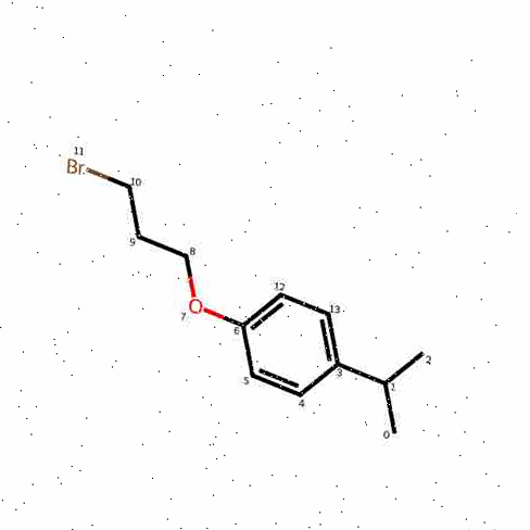 CC(C)c1ccc(OCCCBr)cc1